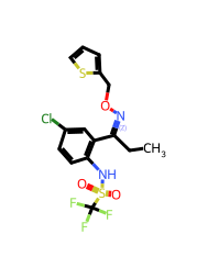 CC/C(=N/OCc1cccs1)c1cc(Cl)ccc1NS(=O)(=O)C(F)(F)F